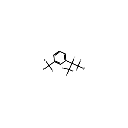 FC(F)(F)c1cccc(C(F)(C(F)(F)F)C(F)(F)F)c1